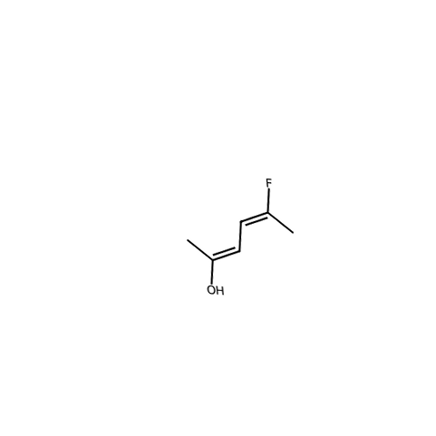 C/C(O)=C\C=C(/C)F